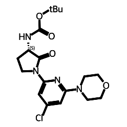 CC(C)(C)OC(=O)N[C@H]1CCN(c2cc(Cl)cc(N3CCOCC3)n2)C1=O